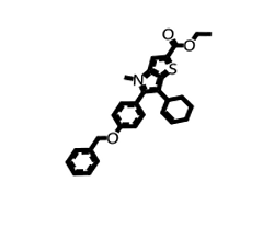 CCOC(=O)c1cc2c(s1)c(C1C=CCCC1)c(-c1ccc(OCc3ccccc3)cc1)n2C